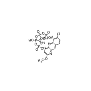 COc1ccc2nc3cc(Cl)ccc3cc2n1.O=P(O)(O)OP(=O)(O)OP(=O)(O)OP(=O)(O)O